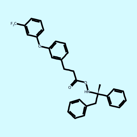 C[C@@](Cc1ccccc1)(NOC(=O)CCc1cccc(Oc2cccc(C(F)(F)F)c2)c1)c1ccccc1